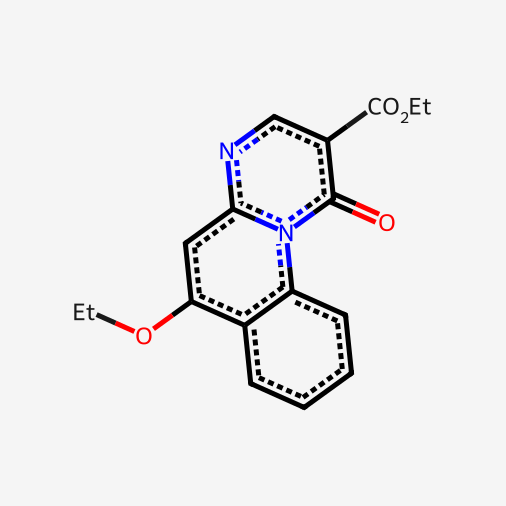 CCOC(=O)c1cnc2cc(OCC)c3ccccc3n2c1=O